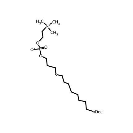 CCCCCCCCCCCCCCCCCCSCCCOP(=O)([O-])OCC[N+](C)(C)C